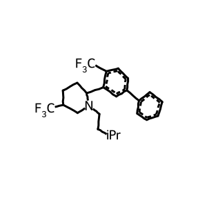 CC(C)CCN1CC(C(F)(F)F)CCC1c1cc(-c2ccccc2)ccc1C(F)(F)F